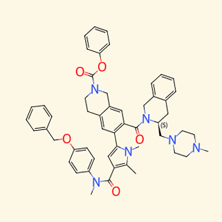 Cc1c(C(=O)N(C)c2ccc(OCc3ccccc3)cc2)cc(-c2cc3c(cc2C(=O)N2Cc4ccccc4C[C@H]2CN2CCN(C)CC2)CN(C(=O)Oc2ccccc2)CC3)n1C